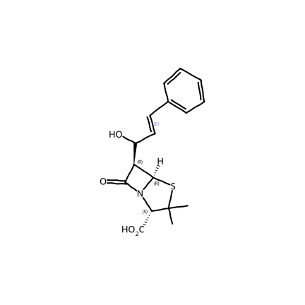 CC1(C)S[C@@H]2[C@H](C(O)/C=C/c3ccccc3)C(=O)N2[C@H]1C(=O)O